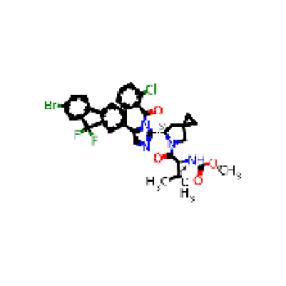 COC(=O)N[C@H](C(=O)N1CC2(CC2)C[C@H]1c1ncc(-c2ccc3c(c2)C(F)(F)c2cc(Br)ccc2-3)n1C(=O)c1ccccc1Cl)C(C)C